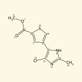 COC(=O)c1cc(-c2[nH]c(C)nc2Cl)cs1